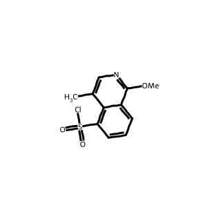 COc1ncc(C)c2c(S(=O)(=O)Cl)cccc12